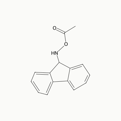 CC(=O)ONC1c2ccccc2-c2ccccc21